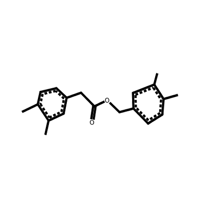 Cc1ccc(COC(=O)Cc2ccc(C)c(C)c2)cc1C